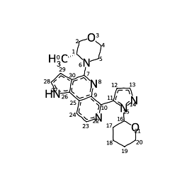 C[C@@H]1COCCN1c1nc2c(-c3ccnn3C3CCCCO3)nccc2c2[nH]ccc12